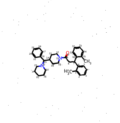 Cc1ccccc1C(CC(=O)N1CCC(C(c2ccccc2)N2CCCCC2)CC1)c1ccccc1C